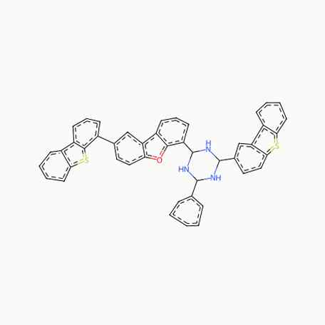 c1ccc(C2NC(c3ccc4sc5ccccc5c4c3)NC(c3cccc4c3oc3ccc(-c5cccc6c5sc5ccccc56)cc34)N2)cc1